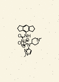 CN1CCC(N(c2ccn(C)n2)S(=O)(=O)[NH+]([O-])C(=O)Nc2c3c(cc4c2CCC4)CCC3)CC1